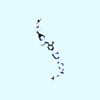 CCC(Cc1ccc(-n2ccc(NC(=O)N3CCN(C(=O)C(C)(C)NC(=O)OC(C)(C)C)CC3)nc2=O)cc1C(F)(F)F)N1CC2C(CNC(=O)OC(C)(C)C)C2C1